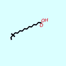 CCC(C)(C)CCCCCCCCCCCC(=O)O